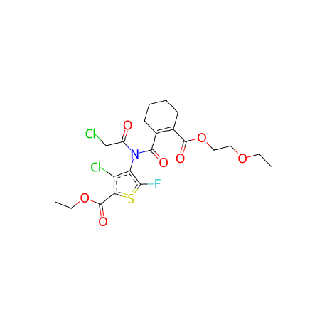 CCOCCOC(=O)C1=C(C(=O)N(C(=O)CCl)c2c(F)sc(C(=O)OCC)c2Cl)CCCC1